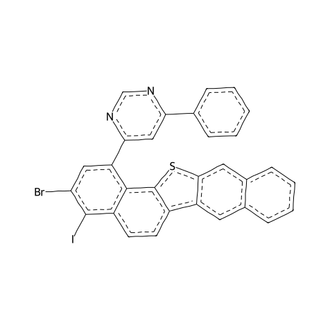 Brc1cc(-c2cc(-c3ccccc3)ncn2)c2c(ccc3c4cc5ccccc5cc4sc32)c1I